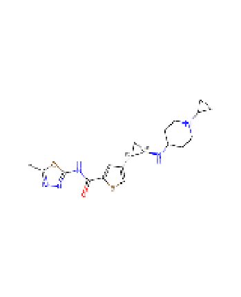 Cc1nnc(NC(=O)c2cc([C@@H]3C[C@H]3NC3CCN(C4CC4)CC3)cs2)s1